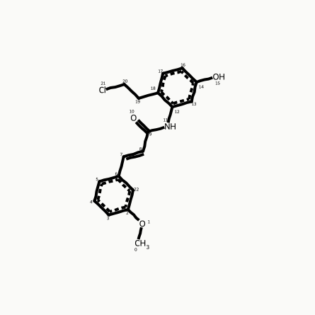 COc1cccc(/C=C/C(=O)Nc2cc(O)ccc2CCCl)c1